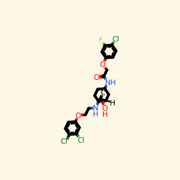 O=C(COc1ccc(Cl)c(F)c1)NC12CCC(NCCOc3ccc(Cl)c(Cl)c3)(CC1)[C@@H](O)C2